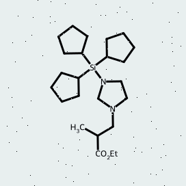 CCOC(=O)C(C)CN1CCN([Si](C2CCCC2)(C2CCCC2)C2CCCC2)C1